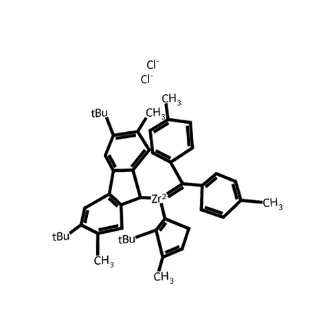 CC1=CC[C]([Zr+2](=[C](c2ccc(C)cc2)c2ccc(C)cc2)[CH]2c3cc(C)c(C(C)(C)C)cc3-c3cc(C(C)(C)C)c(C)cc32)=C1C(C)(C)C.[Cl-].[Cl-]